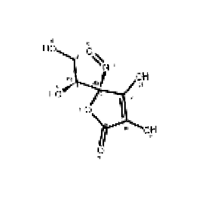 O=N[C@]1([C@@H](O)CO)OC(=O)C(O)=C1O